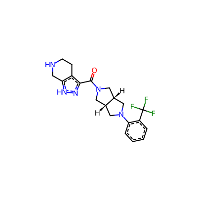 O=C(c1n[nH]c2c1CCNC2)N1C[C@@H]2CN(c3ccccc3C(F)(F)F)C[C@@H]2C1